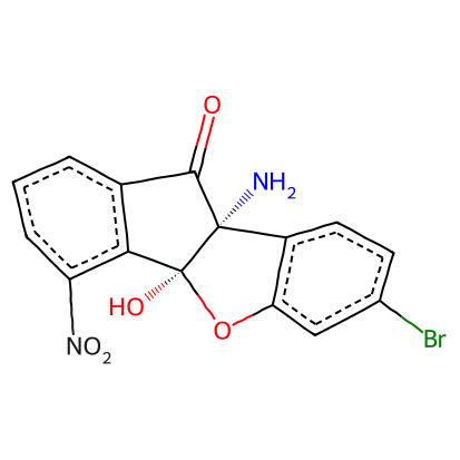 N[C@@]12C(=O)c3cccc([N+](=O)[O-])c3[C@]1(O)Oc1cc(Br)ccc12